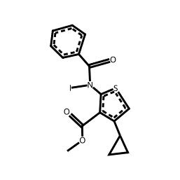 COC(=O)c1c(C2CC2)csc1N(I)C(=O)c1ccccc1